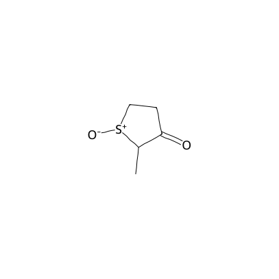 CC1C(=O)CC[S+]1[O-]